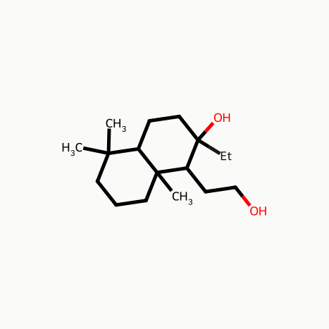 CCC1(O)CCC2C(C)(C)CCCC2(C)C1CCO